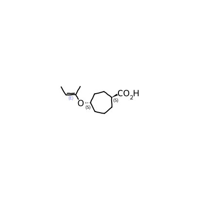 C/C=C(\C)O[C@H]1CCC[C@H](C(=O)O)CC1